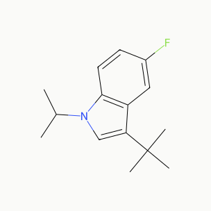 CC(C)n1cc(C(C)(C)C)c2cc(F)ccc21